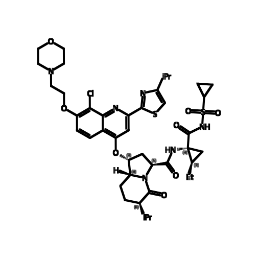 CC[C@@H]1C[C@]1(NC(=O)[C@@H]1C[C@@H](Oc2cc(-c3nc(C(C)C)cs3)nc3c(Cl)c(OCCN4CCOCC4)ccc23)[C@H]2CC[C@H](C(C)C)C(=O)N21)C(=O)NS(=O)(=O)C1CC1